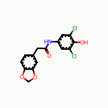 O=C(Cc1ccc2c(c1)OCO2)Nc1cc(Cl)c(O)c(Cl)c1